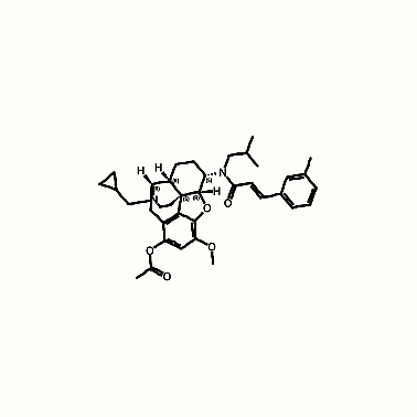 COc1cc(OC(C)=O)c2c3c1O[C@H]1[C@@H](N(CC(C)C)C(=O)C=Cc4cccc(C)c4)CC[C@H]4[C@@H](C2)N(CC2CC2)CC[C@@]341